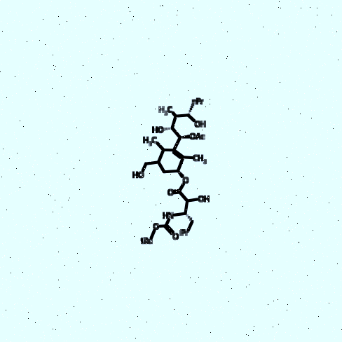 CCC[C@H](O)C(C)[C@@H](O)[C@@H](OC(C)=O)C1=C(C)[C@@H](OC(=O)C(O)[C@H](CC(C)C)NC(=O)OC(C)(C)C)CC(CO)C1C